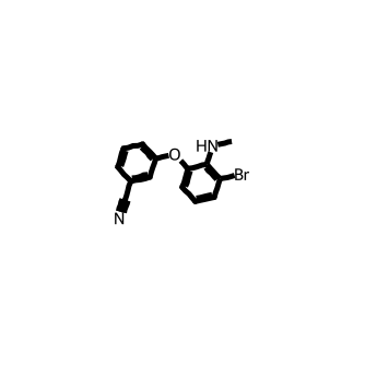 CNc1c(Br)cccc1Oc1cccc(C#N)c1